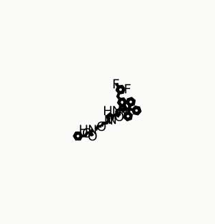 O=C(NCCOCCn1ccc(C(=O)Nc2nn(C(c3ccccc3)(c3ccccc3)c3ccccc3)c3ccc(Cc4cc(F)cc(F)c4)cc23)n1)OCc1ccccc1